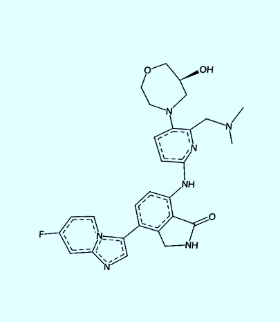 CN(C)Cc1nc(Nc2ccc(-c3cnc4cc(F)ccn34)c3c2C(=O)NC3)ccc1N1CCOC[C@@H](O)C1